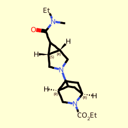 CCOC(=O)N1C[C@H]2CC[C@@H]1CC2N1C[C@@H]2C(C(=O)N(C)CC)[C@@H]2C1